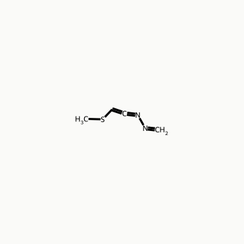 C=NN=C=CSC